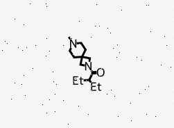 CCC(CC)C(=O)N1CC2(CCN(C)CC2)C1